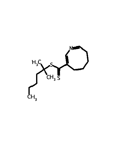 CCCCC(C)(C)SC(=S)/C1=C/N=C\CCCC1